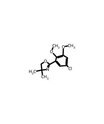 COc1cc(Cl)cc(C2=NC(C)(C)CO2)c1OC